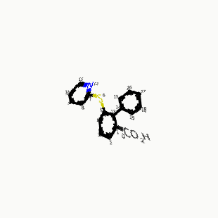 O=C(O)c1cccc(Sc2ccccn2)c1-c1ccccc1